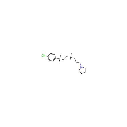 CC(C)(CCCN1CCCC1)CCC(C)(C)c1ccc(Cl)cc1